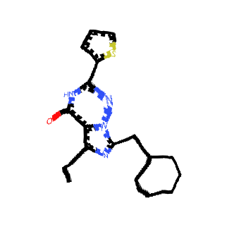 CCc1nc(CC2CCCCC2)n2nc(-c3cccs3)[nH]c(=O)c12